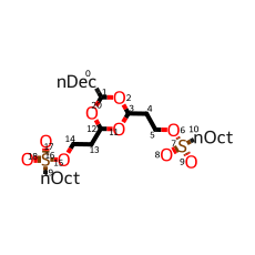 CCCCCCCCCCC1OC(CCOS(=O)(=O)CCCCCCCC)OC(CCOS(=O)(=O)CCCCCCCC)O1